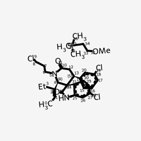 CC=C(CC)[C@H]1N(CCCCl)C(=O)C[C@@H](c2cccc(Cl)c2)[C@]12C(=O)Nc1cc(Cl)ccc12.COCC[Si](C)(C)C